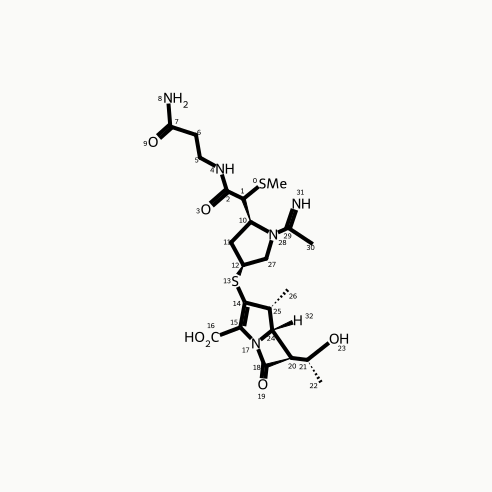 CSC(C(=O)NCCC(N)=O)[C@@H]1C[C@H](SC2=C(C(=O)O)N3C(=O)[C@H]([C@@H](C)O)[C@H]3[C@H]2C)CN1C(C)=N